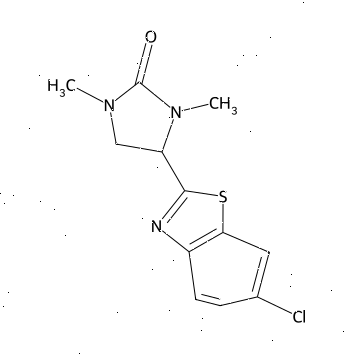 CN1CC(c2nc3ccc(Cl)cc3s2)N(C)C1=O